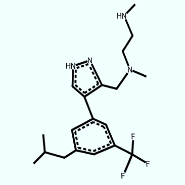 CNCCN(C)Cc1n[nH]cc1-c1cc(CC(C)C)cc(C(F)(F)F)c1